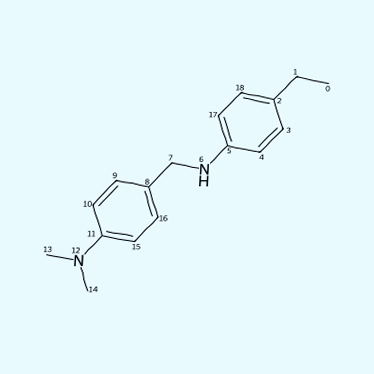 CCc1ccc(NCc2ccc(N(C)C)cc2)cc1